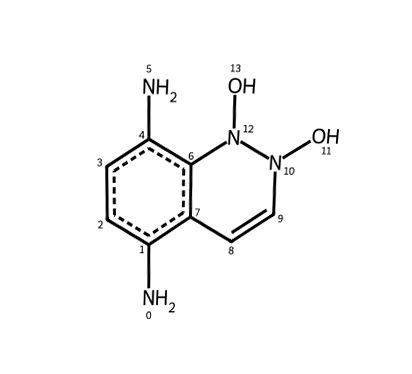 Nc1ccc(N)c2c1C=CN(O)N2O